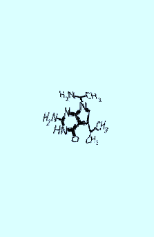 CC(C)c1cn(C(C)N)c2nc(N)[nH]c(=O)c12